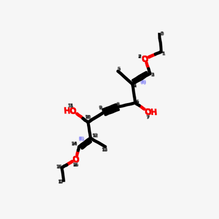 CCO/C=C(\C)C(O)C#CC(O)/C(C)=C/OCC